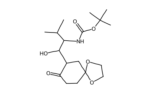 CC(C)C(NC(=O)OC(C)(C)C)C(O)C1CC2(CCC1=O)OCCO2